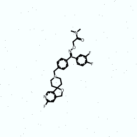 CN(C)C(=O)CON=C(c1ccc(CN2CCC3(CC2)OCc2cc(F)ncc23)cc1)c1ccc(F)c(F)c1